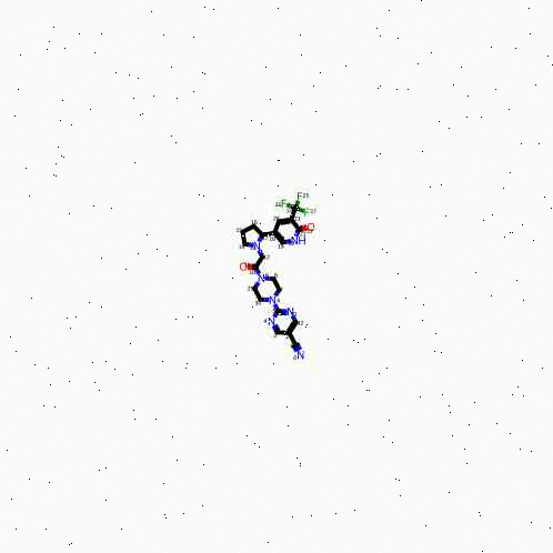 N#Cc1cnc(N2CCN(C(=O)CN3CCCC3c3c[nH]c(=O)c(C(F)(F)F)c3)CC2)nc1